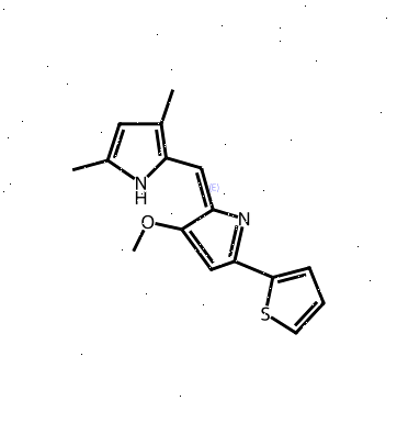 COC1=CC(c2cccs2)=N/C1=C/c1[nH]c(C)cc1C